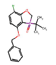 CC(C)(C)P1(=O)COc2c(Br)ccc(OCc3ccccc3)c21